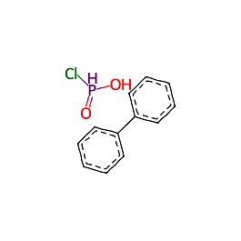 O=[PH](O)Cl.c1ccc(-c2ccccc2)cc1